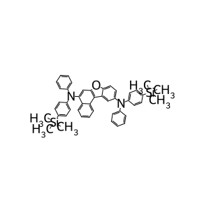 C[Si](C)(C)c1ccc(N(c2ccccc2)c2ccc3oc4cc(N(c5ccccc5)c5ccc([Si](C)(C)C)cc5)c5ccccc5c4c3c2)cc1